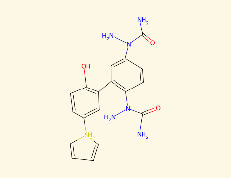 NC(=O)N(N)c1ccc(N(N)C(N)=O)c(-c2cc([SH]3C=CC=C3)ccc2O)c1